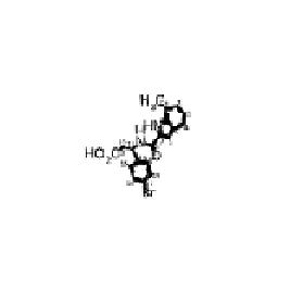 Cc1cccc2cc(C(=O)N[C@H](CC(=O)O)c3ccc(Br)cc3)[nH]c12